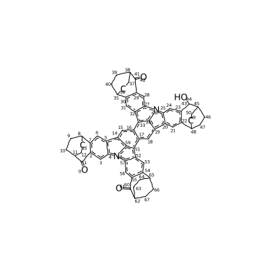 O=C1c2cc3c(cc2C2CCC1CC2)c1cc2c(cc4c5cc6c(cc5n5c7cc8c(cc7c2c45)C2CCC(CC2)C8=O)C(O)C2CCC6CC2)c2c4cc5c(cc4n3c12)C(=O)C1CCC5CC1